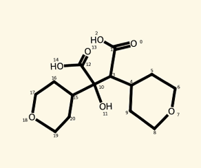 O=C(O)C(C1CCOCC1)C(O)(C(=O)O)C1CCOCC1